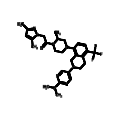 Cc1cc(C)n(CC(=O)N2CCN(c3ccc(C(F)(F)F)c4c3CN(c3cnc(N(C)C)nc3)CC4)CC2C)n1